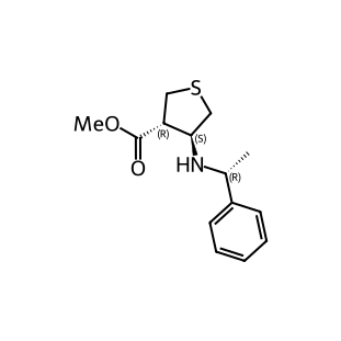 COC(=O)[C@@H]1CSC[C@H]1N[C@H](C)c1ccccc1